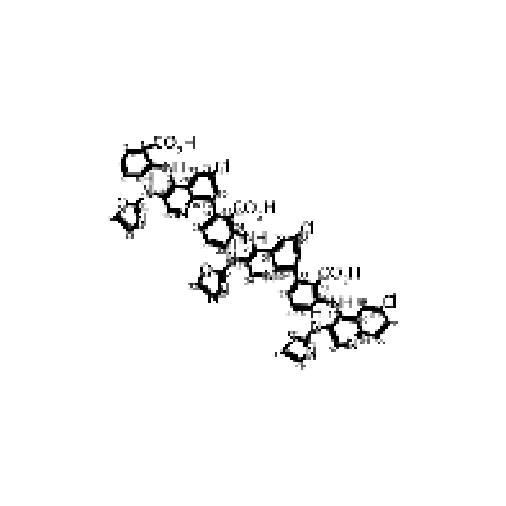 O=C(O)c1ccccc1Nc1c(Nc2ncco2)cnc2c(-c3cccc(Nc4c(Nc5nnco5)cnc5c(-c6cccc(Nc7c(Nc8nccs8)cnc8ccc(Cl)cc78)c6C(=O)O)cc(Cl)cc45)c3C(=O)O)cc(Cl)cc12